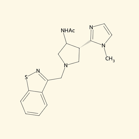 CC(=O)NC1CN(Cc2nsc3ccccc23)C[C@H]1c1nccn1C